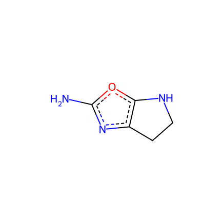 Nc1nc2c(o1)NCC2